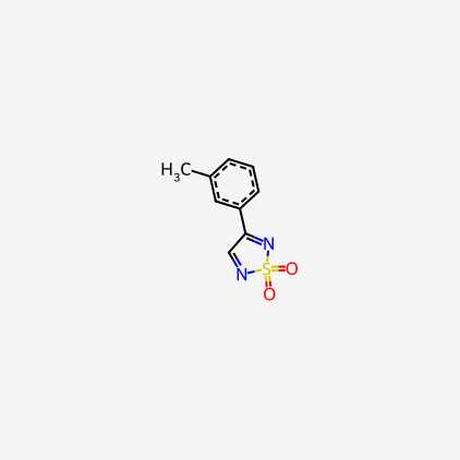 Cc1cccc(C2=NS(=O)(=O)N=C2)c1